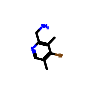 Cc1cnc(CN)c(C)c1Br